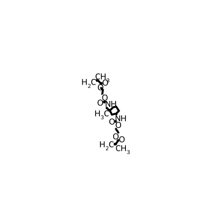 C=C(C)C(=O)OCCOC(=O)NCC1(C)CCCC(NC(=O)OCCOC(=O)C(=C)C)C1